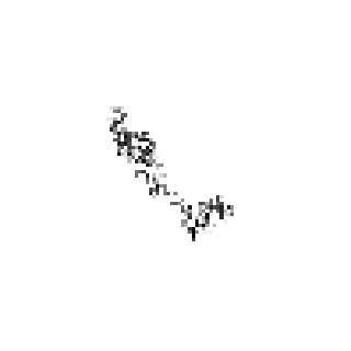 CC1CN(C(=O)CCCCCCSc2ccc(F)c3c2C(=O)N(C2CCC(=O)NC2=O)C3=O)CCC[C@H]1Nc1ncnc(N)c1C(=N)c1ccc(Oc2ccccc2)cc1